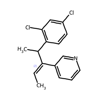 C/C=C(\c1cccnc1)C(C)c1ccc(Cl)cc1Cl